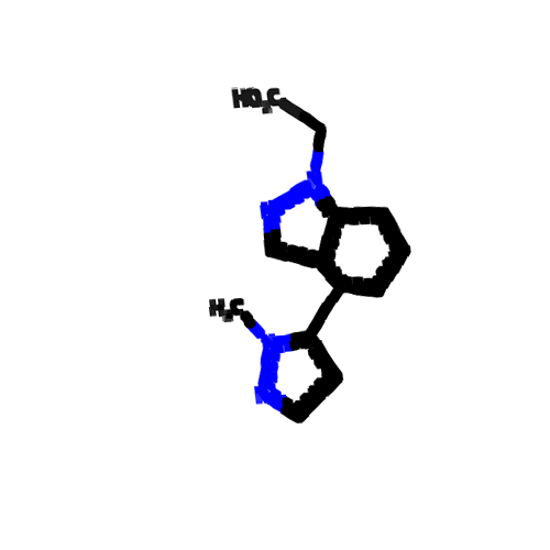 Cn1nccc1-c1cccc2c1cnn2CC(=O)O